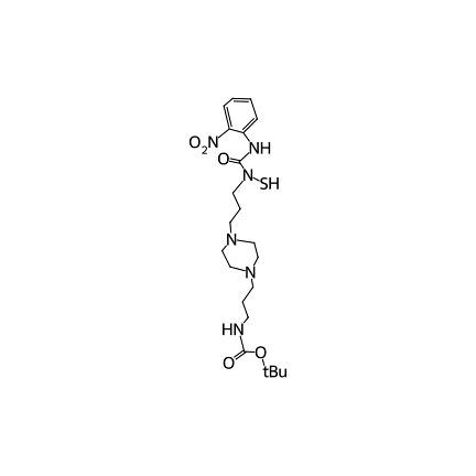 CC(C)(C)OC(=O)NCCCN1CCN(CCCN(S)C(=O)Nc2ccccc2[N+](=O)[O-])CC1